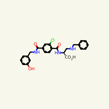 O=C(NCc1cccc(O)c1)c1ccc(C(=O)N[C@@H](CNCc2ccccc2)C(=O)O)c(Cl)c1